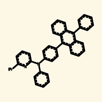 CC(C)c1cccc(N(c2ccccc2)c2ccc(-c3c4ccccc4c(-c4ccccc4)c4ccccc34)cc2)n1